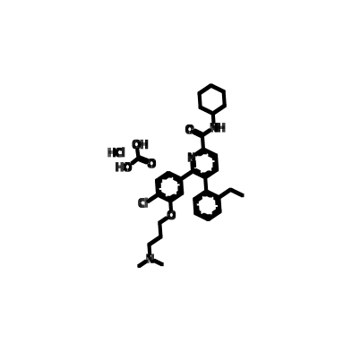 CCc1ccccc1-c1ccc(C(=O)NC2CCCCC2)nc1-c1ccc(Cl)c(OCCCN(C)C)c1.Cl.O=C(O)O